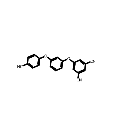 N#Cc1ccc(Oc2cccc(Oc3cc(C#N)cc(C#N)c3)c2)cc1